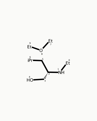 CCN[C@H](CO)CC(C)C.CCOCC